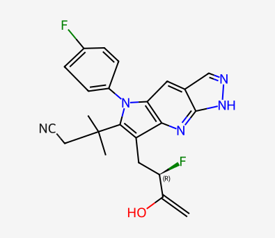 C=C(O)[C@H](F)Cc1c(C(C)(C)CC#N)n(-c2ccc(F)cc2)c2cc3cn[nH]c3nc12